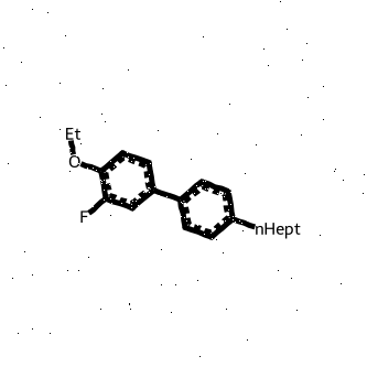 CCCCCCCc1ccc(-c2ccc(OCC)c(F)c2)cc1